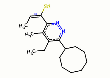 C/C=C(/S)c1nnc(C2CCCCCCC2)c(CC)c1C